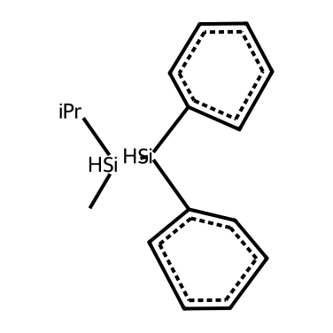 CC(C)[SiH](C)[SiH](c1ccccc1)c1ccccc1